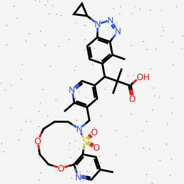 Cc1cnc2c(c1)S(=O)(=O)N(Cc1cc(C(c3ccc4c(nnn4C4CC4)c3C)C(C)(C)C(=O)O)cnc1C)CCCOCCO2